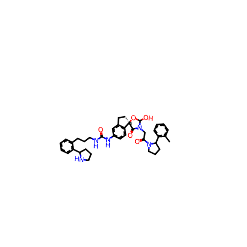 Cc1ccccc1C1CCCN1C(=O)CN1C(=O)[C@]2(CCc3cc(NC(=O)NCCCc4ccccc4C4CCCN4)ccc32)OC1O